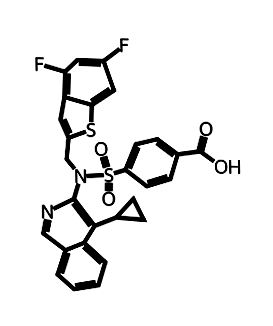 O=C(O)c1ccc(S(=O)(=O)N(Cc2cc3c(F)cc(F)cc3s2)c2ncc3ccccc3c2C2CC2)cc1